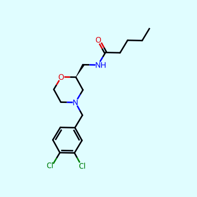 CCCCC(=O)NC[C@H]1CN(Cc2ccc(Cl)c(Cl)c2)CCO1